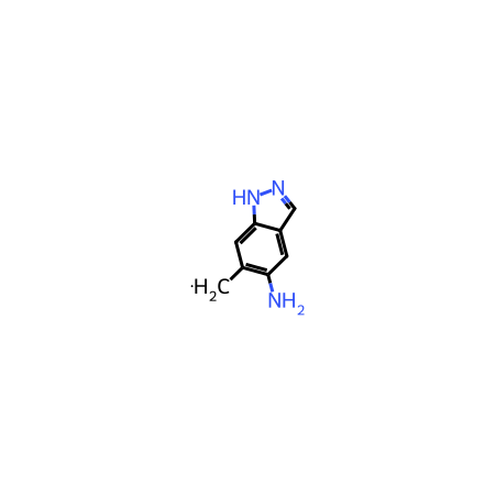 [CH2]c1cc2[nH]ncc2cc1N